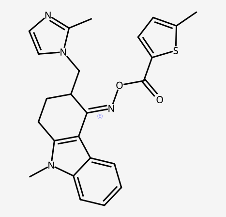 Cc1ccc(C(=O)O/N=C2/c3c(n(C)c4ccccc34)CCC2Cn2ccnc2C)s1